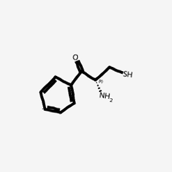 N[C@@H](CS)C(=O)c1cc[c]cc1